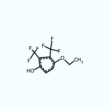 CCOc1ccc(O)c(C(F)(F)F)c1C(F)(F)F